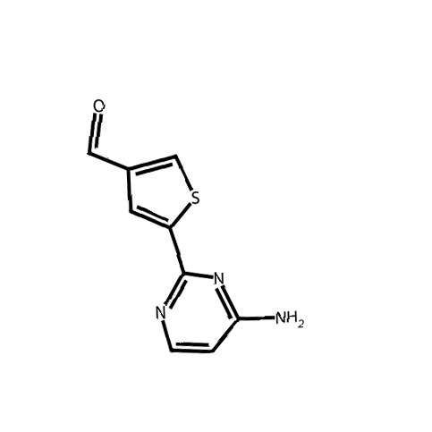 Nc1ccnc(-c2cc(C=O)cs2)n1